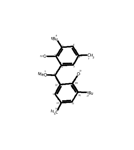 COC(c1cc(C)cc(C(C)(C)C)c1[O])c1cc(C)cc(C(C)(C)C)c1[O]